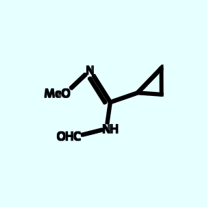 CO/N=C(\NC=O)C1CC1